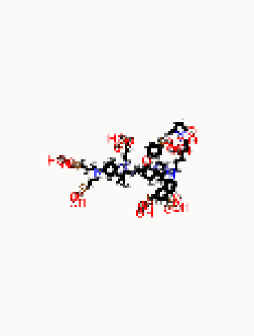 C=C1CCC(=O)N1OC(=O)CCCCCN1/C(=C/C=C2\CCCC(/C=C/C3=[N+](CCCS(=O)(=O)O)c4ccc(N(CCCSOOO)CCCSOOO)cc4C3(C)C)=C2Oc2ccc(SOOO)cc2)C(C)(C)c2c1ccc1c(S(=O)(=O)O)cc(SOOO)cc21